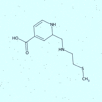 CSCCNCC1C=C(C(=O)O)C=CN1